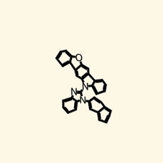 c1ccc2cc(-n3c(-n4c5ccccc5c5cc6oc7ccccc7c6cc54)nc4ccccc43)ccc2c1